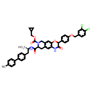 N#Cc1ccc(-c2ccc(C[C@H](NC(=O)C3Cc4cc5c(cc4CN3C(=O)OCC3CC3)OC(c3ccc(OCc4ccc(Cl)c(Cl)c4)cc3)C(=O)N5)C(=O)O)cc2)cc1